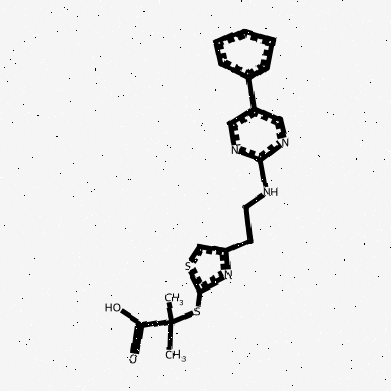 CC(C)(Sc1nc(CCNc2ncc(-c3ccccc3)cn2)cs1)C(=O)O